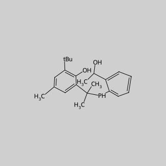 Cc1cc(C(C)(C)C)c(O)c(C(C)(C)Pc2ccccc2C(C)O)c1